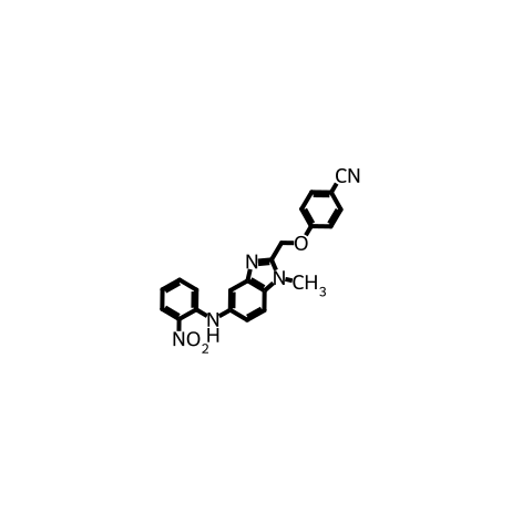 Cn1c(COc2ccc(C#N)cc2)nc2cc(Nc3ccccc3[N+](=O)[O-])ccc21